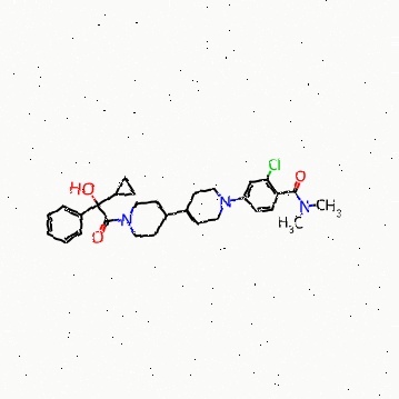 CN(C)C(=O)c1ccc(N2CCC(C3CCN(C(=O)C(O)(c4ccccc4)C4CC4)CC3)CC2)cc1Cl